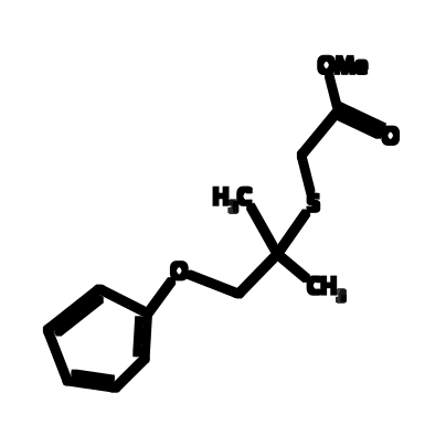 COC(=O)CSC(C)(C)COc1ccccc1